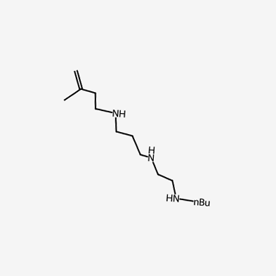 C=C(C)CCNCCCNCCNCCCC